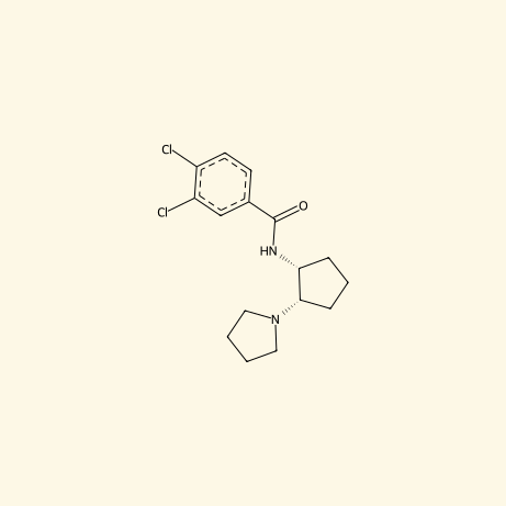 O=C(N[C@@H]1CCC[C@@H]1N1CCCC1)c1ccc(Cl)c(Cl)c1